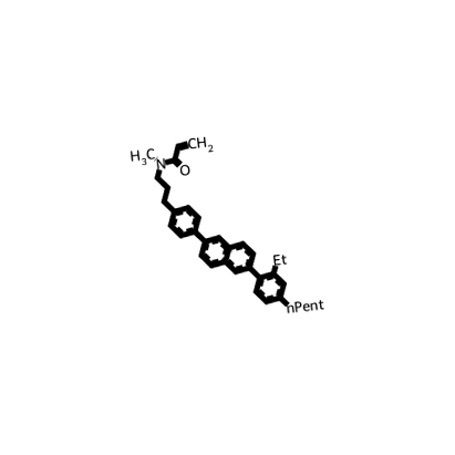 C=CC(=O)N(C)CCCc1ccc(-c2ccc3cc(-c4ccc(CCCCC)cc4CC)ccc3c2)cc1